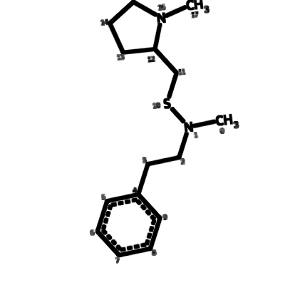 CN(CCc1ccccc1)SCC1CCCN1C